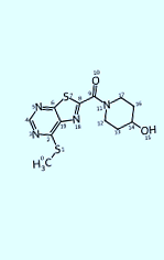 CSc1ncnc2sc(C(=O)N3CCC(O)CC3)nc12